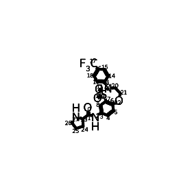 O=C(Nc1ccc2c(c1)S(=O)(=O)N(c1ccc(C(F)(F)F)cc1)CCO2)C1CCCN1